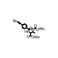 COC(=O)C(NC(=O)c1ccc(C#CBr)cc1)C(C)NC(=O)OC(C)(C)C